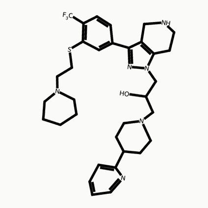 OC(CN1CCC(c2ccccn2)CC1)Cn1nc(-c2ccc(C(F)(F)F)c(SCCN3CCCCC3)c2)c2c1CCNC2